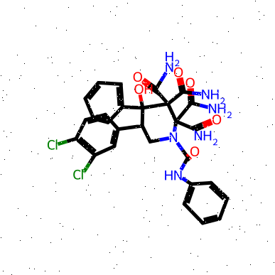 NC(=O)C1(C(N)=O)N(C(=O)Nc2ccccc2)CC(c2ccc(Cl)c(Cl)c2)C(O)(c2ccccc2)C1(C(N)=O)C(N)=O